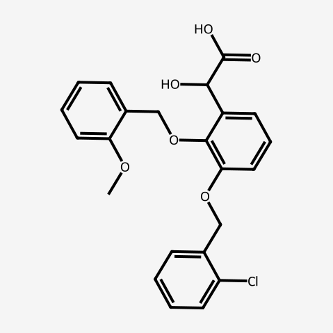 COc1ccccc1COc1c(OCc2ccccc2Cl)cccc1C(O)C(=O)O